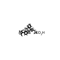 Cc1noc(C)c1-c1ccc2nc(N3CC[C@@H](CN(C)C(=O)O)C3)n3c2c1OC[C@@H]3c1ccccn1